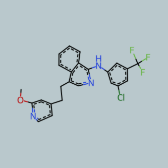 COc1cc(CCc2cnc(Nc3cc(Cl)cc(C(F)(F)F)c3)c3ccccc23)ccn1